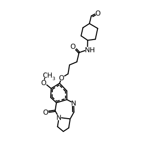 COc1cc2c(cc1OCCCC(=O)NC1CCC(C=O)CC1)N=CC1CCCN1C2=O